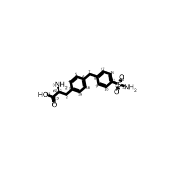 N[C@@H](Cc1ccc(Cc2ccc(S(N)(=O)=O)cc2)cc1)C(=O)O